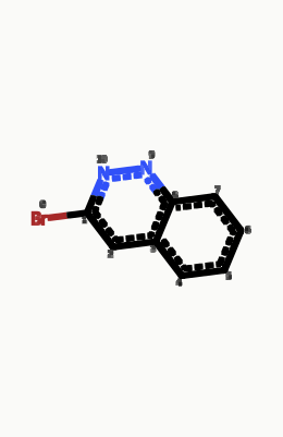 Brc1cc2ccccc2nn1